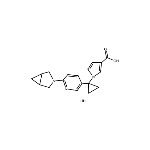 O=C(O)c1cnn(C2(c3ccc(N4CC5CC5C4)nc3)CC2)c1.[LiH]